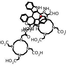 NN(C(=O)c1[nH]c2ccccc2c1C(c1ccccc1)c1c(C(=O)NNC(=O)CN2CCN(CC(=O)O)CCN(CC(=O)O)CCN(CC(=O)O)CC2)[nH]c2ccccc12)C(C=O)N1CCN(CC(=O)O)CCN(CC(=O)O)CCN(CC(=O)O)CC1